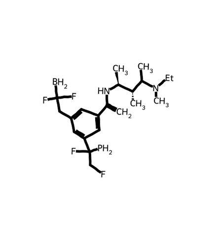 BC(F)(F)Cc1cc(C(=C)N[C@@H](C)[C@@H](C)C(C)N(C)CC)cc(C(F)(P)CF)c1